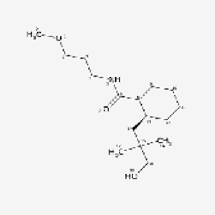 COCCCNC(=O)C1CCCC[C@H]1CC(C)(C)CO